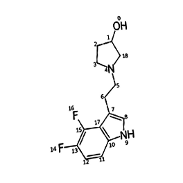 OC1CCN(CCc2c[nH]c3ccc(F)c(F)c23)C1